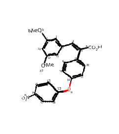 COc1cc(C=C(C(=O)O)c2ccc(Oc3ccc([N+](=O)[O-])cc3)cc2)cc(OC)c1